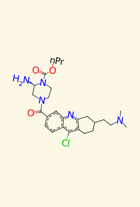 CCCOC(=O)N1CCN(C(=O)c2ccc3c(Cl)c4c(nc3c2)CC(CCN(C)C)CC4)C[C@H]1N